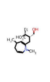 CC[C@H](C(=O)O)[C@H](CO)CC1=CC(C)CC=CN1C